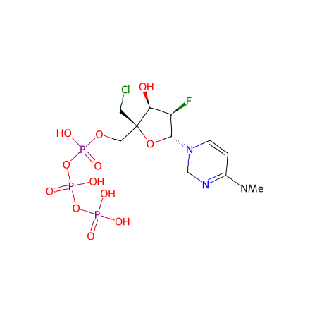 CNC1=NCN([C@@H]2O[C@](CCl)(COP(=O)(O)OP(=O)(O)OP(=O)(O)O)[C@@H](O)[C@H]2F)C=C1